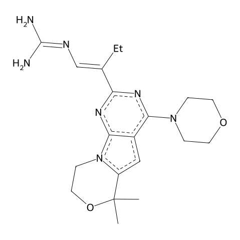 CC/C(=C\N=C(N)N)c1nc(N2CCOCC2)c2cc3n(c2n1)CCOC3(C)C